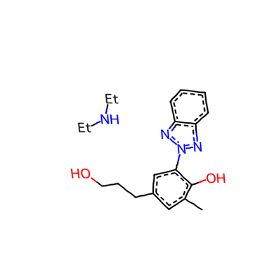 CCNCC.Cc1cc(CCCO)cc(-n2nc3ccccc3n2)c1O